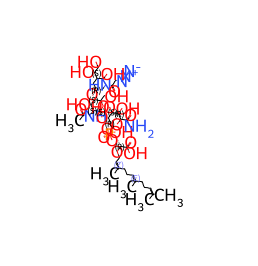 CC(=O)N[C@H]1C(O)[C@H](O[C@@H](CNC(=O)CN=[N+]=[N-])CC(CO)[C@H](O)CO)C(CO)O[C@H]1OC1[C@@H](OP(=O)(O)OC[C@@H](OC/C=C(/C)CC/C=C(\C)CCC=C(C)C)C(=O)O)OC(C(N)=O)[C@H](O)[C@@H]1O